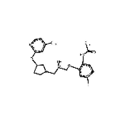 CC(=O)Nc1ccc(F)cc1OC[C@H](O)CN1CCC(Oc2cc(C)ccn2)C1